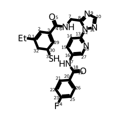 CCC1=CC(C(=O)NCc2ncnn2-c2ccc(NC(=O)c3ccc(F)cc3)cn2)=CC(S)C1